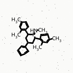 CNP1C(c2ccc(C)cc2C)CC(c2ccccc2)CC1c1ccc(C)cc1C